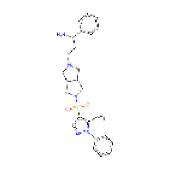 Cc1c(S(=O)(=O)N2CC3CN(CCC(N)c4ccccc4)CC3C2)cnn1-c1ccccc1